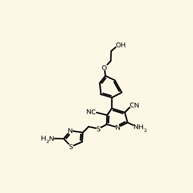 N#Cc1c(N)nc(SCc2csc(N)n2)c(C#N)c1-c1ccc(OCCO)cc1